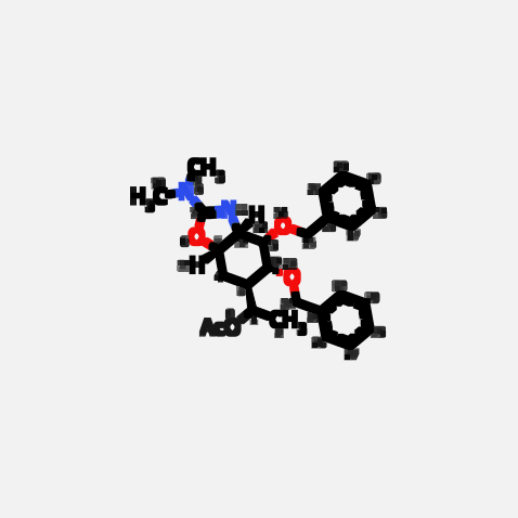 CC(=O)OC(C)[C@H]1C[C@@H]2OC(N(C)C)=N[C@@H]2[C@@H](OCc2ccccc2)[C@@H]1OCc1ccccc1